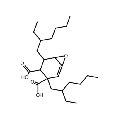 CCCCC(CC)CC1C2OC2=CC(CC(CC)CCCC)(C(=O)O)C1C(=O)O